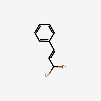 BrC(Br)C=Cc1ccccc1